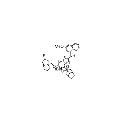 COc1cc(Nc2nc3c(N4CC5CCC(C4)N5C(=O)OC(C)(C)C)nc(OC[C@@]45CCCN4C[C@H](F)C5)nc3s2)c2ccccc2c1